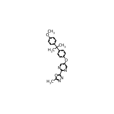 COc1ccc(C(C)(C)c2ccc(Oc3cnc(-c4nnc(C)o4)nc3)cc2)cc1